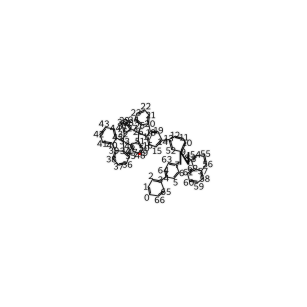 c1ccc(-c2ccc(N(c3cccc(-c4ccc5c(c4)-c4ccccc4C54c5ccccc5C5(c6ccccc6-c6ccccc65)c5ccccc54)c3)c3cccc4ccccc34)cc2)cc1